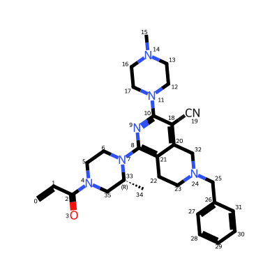 C=CC(=O)N1CCN(c2nc(N3CCN(C)CC3)c(C#N)c3c2CCN(Cc2ccccc2)C3)[C@H](C)C1